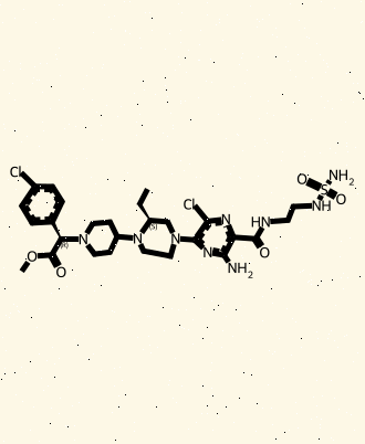 CC[C@H]1CN(c2nc(N)c(C(=O)NCCNS(N)(=O)=O)nc2Cl)CCN1C1CCN([C@@H](C(=O)OC)c2ccc(Cl)cc2)CC1